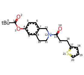 CC(C)(C)C(=O)Oc1ccc2c(c1)CCN(C(=O)CCc1cccs1)C2